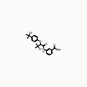 CCC(C)(C)c1ccc(OC(C(=O)Nc2cccc(C([NH])=O)c2)C(C)(C)CC)cc1